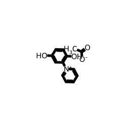 CC(=O)[O-].Oc1ccc(O)c(-[n+]2ccccc2)c1